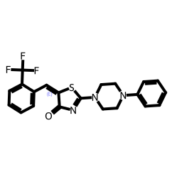 O=C1N=C(N2CCN(c3ccccc3)CC2)S/C1=C/c1ccccc1C(F)(F)F